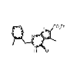 CCOC(=O)c1sc2nc(Cc3ccccc3C)[nH]c(=O)c2c1C